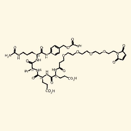 CC(C)C(=O)OCc1ccc(NC(=O)[C@H](CCCNC(N)=O)NC(=O)[C@@H](NC(=O)[C@H](CCC(=O)O)NC(=O)[C@H](CCC(=O)O)NC(=O)CCOCCOCCOCCOCCN2C(=O)C=CC2=O)C(C)C)cc1